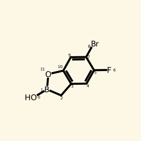 OB1Cc2cc(F)c(Br)cc2O1